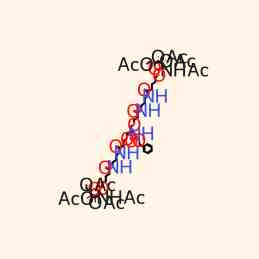 CC(=O)N[C@H]1[C@H](OCCCCC(=O)NCCCNC(=O)CCOCC(COCCC(=O)NCCCNC(=O)CCCCO[C@@H]2O[C@H](COC(C)=O)[C@H](OC(C)=O)[C@H](OC(C)=O)[C@H]2NC(C)=O)NC(=O)OCc2ccccc2)O[C@H](COC(C)=O)[C@H](OC(C)=O)[C@@H]1OC(C)=O